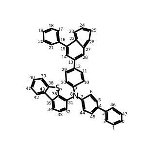 c1ccc(-c2ccc(N(c3ccc(-c4cc(-c5ccccc5)c5ccccc5c4)cc3)c3cccc4c3sc3ccccc34)cc2)cc1